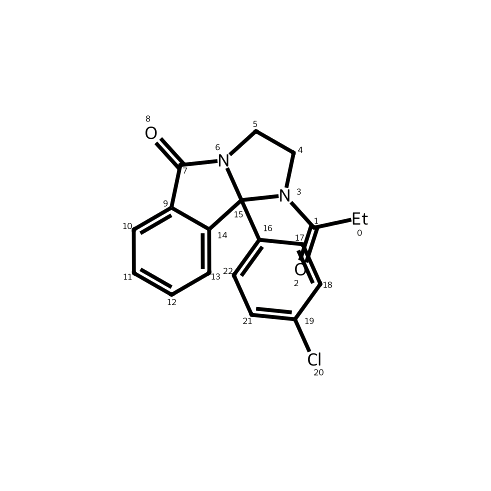 CCC(=O)N1CCN2C(=O)c3ccccc3C12c1ccc(Cl)cc1